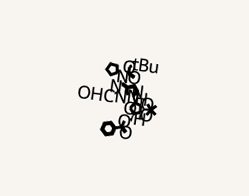 CC(C)(C)OC(=O)N(c1nc(C=O)nc2c1cnn2[C@@H]1O[C@H](COC(=O)c2ccccc2)[C@H]2OC(C)(C)O[C@H]21)C1CCCC1